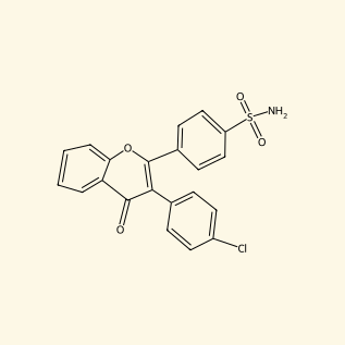 NS(=O)(=O)c1ccc(-c2oc3ccccc3c(=O)c2-c2ccc(Cl)cc2)cc1